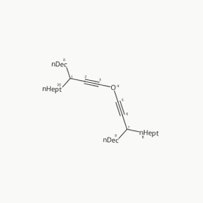 CCCCCCCCCCC(C#COC#CC(CCCCCCC)CCCCCCCCCC)CCCCCCC